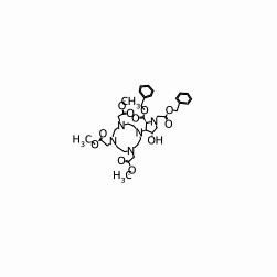 COC(=O)CN1CCN(CC(=O)OC)CCN([C@H]2[C@@H](C(=O)OCc3ccccc3)N(CC(=O)OCc3ccccc3)C[C@@H]2O)CCN(CC(=O)OC)CC1